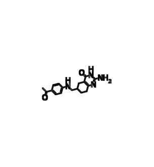 CC(=O)c1ccc(NCC2CCc3nc(N)[nH]c(=O)c3C2)cc1